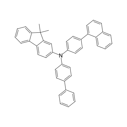 CC1(C)c2ccccc2-c2ccc(N(c3ccc(-c4ccccc4)cc3)c3ccc(-c4cccc5ccccc45)cc3)cc21